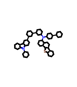 c1ccc(-c2ccc(N(c3cccc(-c4cccc(-c5ccc6c(c5)c5ccccc5n6-c5ccccc5)c4)c3)c3cccc4c3ccc3c5ccccc5sc43)cc2)cc1